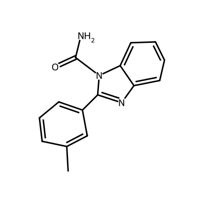 Cc1cccc(-c2nc3ccccc3n2C(N)=O)c1